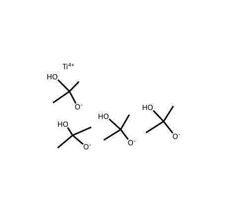 CC(C)([O-])O.CC(C)([O-])O.CC(C)([O-])O.CC(C)([O-])O.[Ti+4]